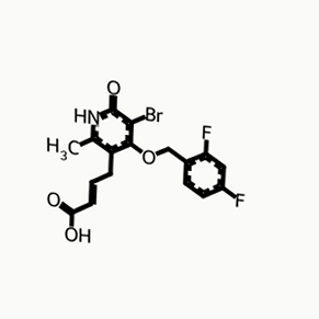 Cc1[nH]c(=O)c(Br)c(OCc2ccc(F)cc2F)c1C/C=C/C(=O)O